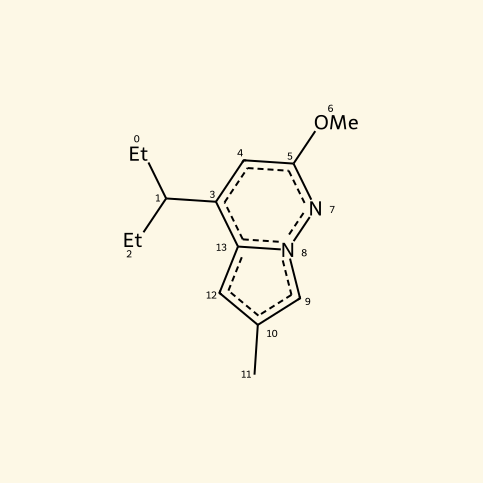 CCC(CC)c1cc(OC)nn2cc(C)cc12